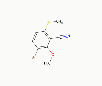 COc1c(Br)ccc(SC)c1C#N